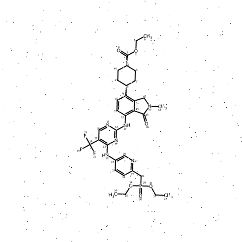 CCOC(=O)[C@H]1CC[C@@H](c2ccc(Nc3ncc(C(F)(F)F)c(Nc4ccc(CP(=O)(OCC)OCC)nc4)n3)c3c2CN(C)C3=O)CC1